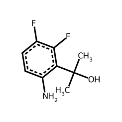 CC(C)(O)c1c(N)ccc(F)c1F